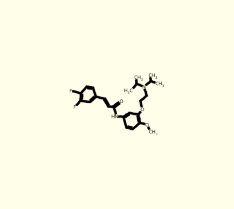 COc1ccc(NC(=O)/C=C/c2ccc(F)c(F)c2)cc1OCCN(C(C)C)C(C)C